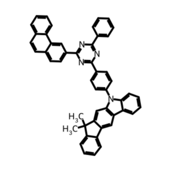 CC1(C)c2ccccc2-c2cc3c4ccccc4n(-c4ccc(-c5nc(-c6ccccc6)nc(-c6ccc7ccc8ccccc8c7c6)n5)cc4)c3cc21